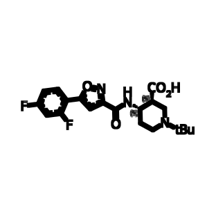 CC(C)(C)N1CC[C@H](NC(=O)c2cc(-c3ccc(F)cc3F)on2)[C@@H](C(=O)O)C1